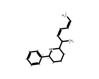 C/C=C\C=C/C(C)C1CCCC(c2ccccc2)P1